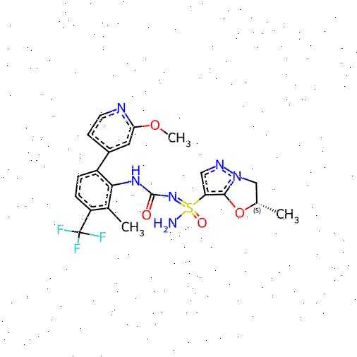 COc1cc(-c2ccc(C(F)(F)F)c(C)c2NC(=O)N=S(N)(=O)c2cnn3c2O[C@@H](C)C3)ccn1